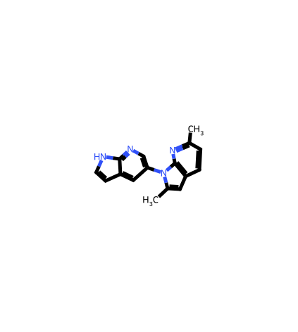 Cc1ccc2cc(C)n(-c3cnc4[nH]ccc4c3)c2n1